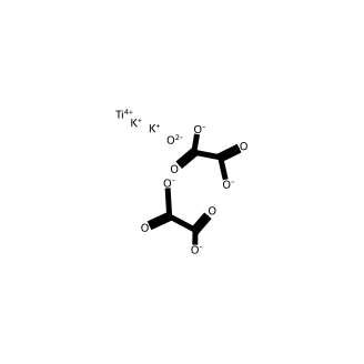 O=C([O-])C(=O)[O-].O=C([O-])C(=O)[O-].[K+].[K+].[O-2].[Ti+4]